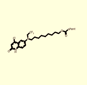 CCCCCC(=O)OCCCCCCCCCN(CC(F)(F)F)c1ccc2[nH]c(=O)cc(Cl)c2c1